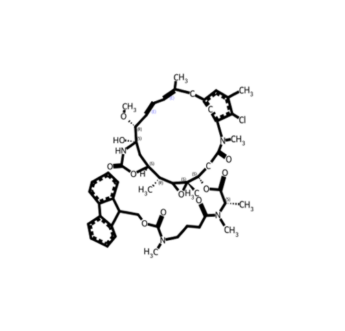 CO[C@@H]1/C=C/C=C(\C)Cc2cc(C)c(Cl)c(c2)N(C)C(=O)C[C@H](OC(=O)[C@H](C)N(C)C(=O)CCCN(C)C(=O)OCC2c3ccccc3-c3ccccc32)[C@]2(C)OC2[C@H](C)[C@@H]2C[C@@]1(O)NC(=O)O2